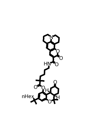 CCCCCCC(C)(C)c1cc(OC(=O)C(C)(C)CCCCNC(=O)c2cc3cc4c5c(c3oc2=O)CCCN5CCC4)c2c(c1)OC(C)(C)[C@H]1CCC(=O)C[C@@H]21